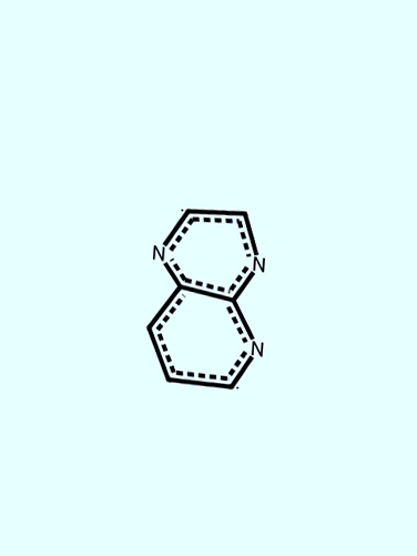 [c]1cnc2n[c]ccc2n1